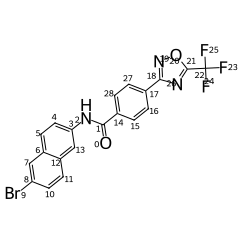 O=C(Nc1ccc2cc(Br)ccc2c1)c1ccc(-c2noc(C(F)(F)F)n2)cc1